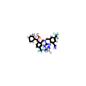 COC(c1ccc(C(F)(F)F)cc1CN(Cc1cc(C#N)cc(C(F)(F)F)c1)c1nnn(C)n1)C1CCCCC1